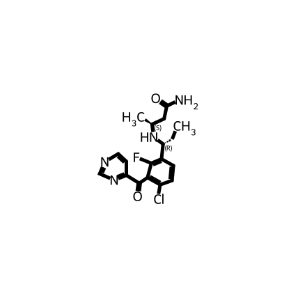 CC[C@@H](N[C@@H](C)CC(N)=O)c1ccc(Cl)c(C(=O)c2ccncn2)c1F